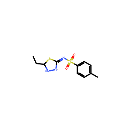 CCC1N[N]C(=NS(=O)(=O)c2ccc(C)cc2)S1